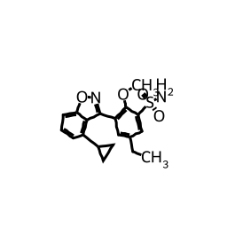 CCc1cc(-c2noc3cccc(C4CC4)c23)c(OC)c(S(N)(=O)=O)c1